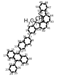 CC1(C)c2ccc(-c3ccc4cc(-c5c6ccccc6c(-c6ccccc6)c6ccccc56)ccc4c3)cc2-c2ccc3ccc4c5ccccc5sc4c3c21